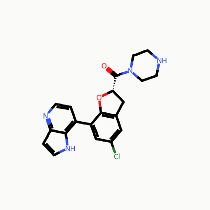 O=C([C@@H]1Cc2cc(Cl)cc(-c3ccnc4cc[nH]c34)c2O1)N1CCNCC1